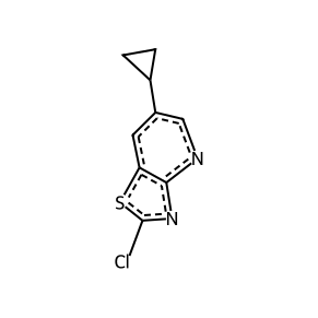 Clc1nc2ncc(C3CC3)cc2s1